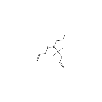 C=CCSN(CCC)[Si](C)(C)CC=C